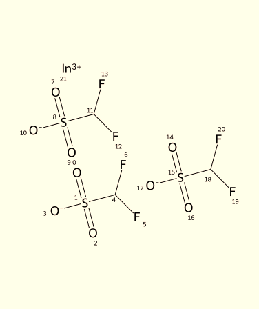 O=S(=O)([O-])C(F)F.O=S(=O)([O-])C(F)F.O=S(=O)([O-])C(F)F.[In+3]